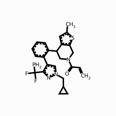 C=CC(=O)N1Cc2sc(C)cc2C(c2ccccc2-c2cn(CC3CC3)nc2C(F)(F)P)C1